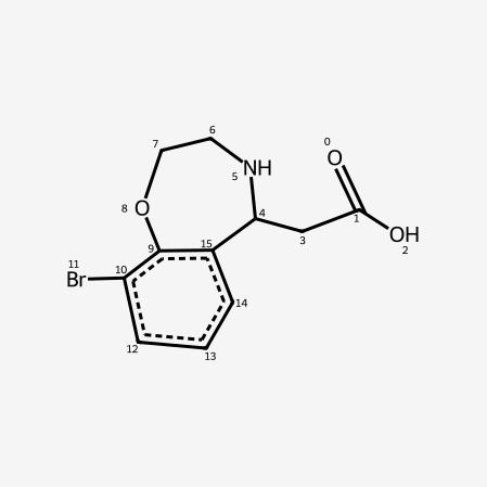 O=C(O)CC1NCCOc2c(Br)cccc21